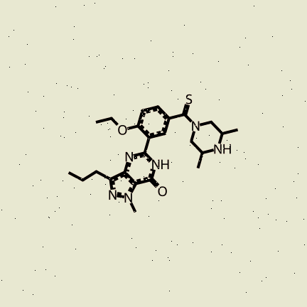 CCCc1nn(C)c2c(=O)[nH]c(-c3cc(C(=S)N4CC(C)NC(C)C4)ccc3OCC)nc12